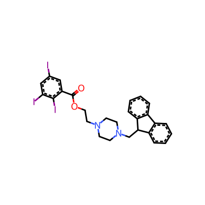 O=C(OCCN1CCN(CC2c3ccccc3-c3ccccc32)CC1)c1cc(I)cc(I)c1I